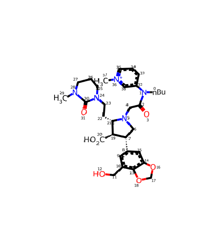 CCCCN(C(=O)CN1C[C@H](c2cc(CO)c3c(c2)OCO3)[C@@H](C(=O)O)[C@@H]1CCN1CCCN(C)C1=O)c1ccc[n+](C)c1